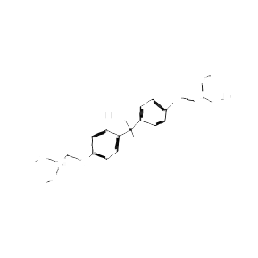 CCO[SiH](COc1ccc(C(C)(C)c2ccc(OC[SiH](OCC)OCC)cc2)cc1)OCC